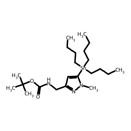 CCC[CH2][Sn]([CH2]CCC)([CH2]CCC)[c]1cc(CNC(=O)OC(C)(C)C)nn1C